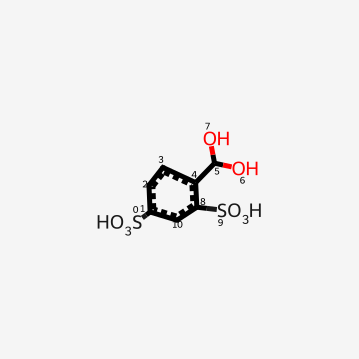 O=S(=O)(O)c1ccc(C(O)O)c(S(=O)(=O)O)c1